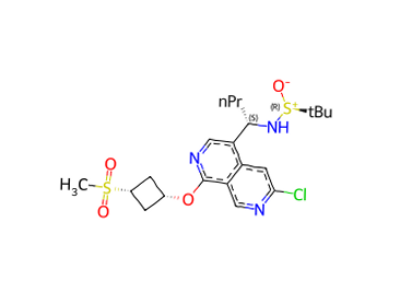 CCC[C@H](N[S@@+]([O-])C(C)(C)C)c1cnc(O[C@H]2C[C@@H](S(C)(=O)=O)C2)c2cnc(Cl)cc12